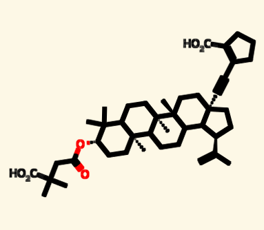 C=C(C)[C@@H]1CC[C@]2(C#CC3=C(C(=O)O)CCC3)CC[C@]3(C)C(CCC4[C@@]5(C)CC[C@H](OC(=O)CC(C)(C)C(=O)O)C(C)(C)C5CC[C@]43C)C12